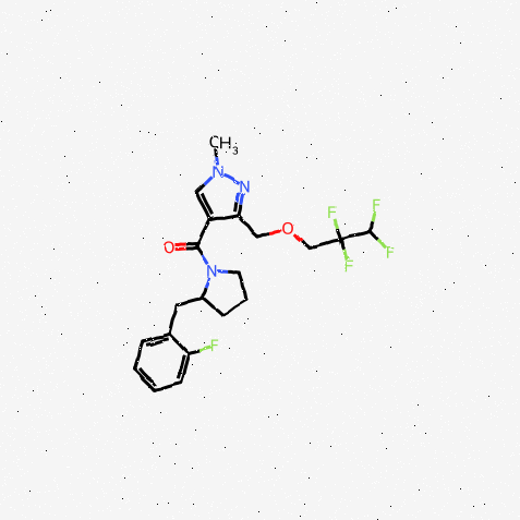 Cn1cc(C(=O)N2CCCC2Cc2ccccc2F)c(COCC(F)(F)C(F)F)n1